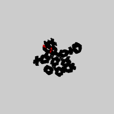 Cc1cc2c(cc1N1c3cc(C(C)(C)c4ccccc4)ccc3B3c4cc5c(cc4N(c4ccc(C(C)(C)C)cc4-c4ccccc4)c4cc(N(c6ccccc6)c6ccccc6)cc1c43)C(C)(C)CC5(C)C)C(C)(C)CCC2(C)C